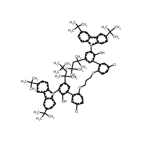 CC(C)(C)CC(C)(C)c1cc(-c2cc(Cl)ccc2OCCCOc2ccc(Cl)cc2-c2cc(C(C)(C)CC(C)(C)C)cc(-n3c4ccc(C(C)(C)C)cc4c4cc(C(C)(C)C)ccc43)c2O)c(O)c(-n2c3ccc(C(C)(C)C)cc3c3cc(C(C)(C)C)ccc32)c1